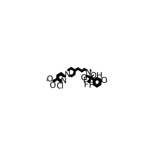 COC(=O)c1ccc(N2CCC(CCCN(C)C(=O)[C@](O)(c3cccc(OC)c3)C(F)(F)F)CC2)nc1Cl